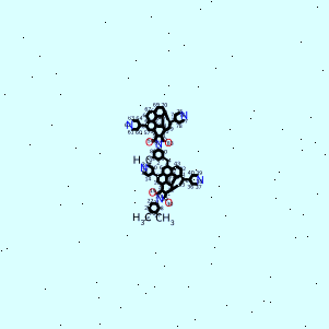 Cc1cc(Cc2cc3c(-c4ccncc4)cc4c5c(=O)n(-c6ccc(C)c(C)c6)c(=O)c5c5cc(-c6ccncc6)c6ccc2c2c6c5c4c32)cc(-n2c(=O)c3c4cc(-c5ccncc5)c5ccc6ccc7c(-c8ccncc8)cc(c3c2=O)c2c7c6c5c42)c1